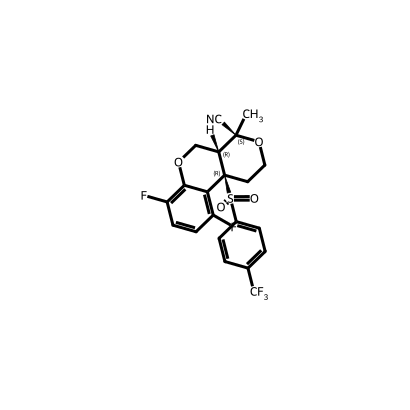 C[C@]1(C#N)OCC[C@]2(S(=O)(=O)c3ccc(C(F)(F)F)cc3)c3c(F)ccc(F)c3OC[C@H]12